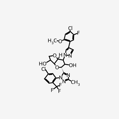 COc1cc(Cl)c(F)cc1-c1cnn(C2C(O)[C@H](c3nc(C)nn3-c3cc(Cl)ccc3C(F)(F)F)OC3C(O)CO[C@@H]32)c1